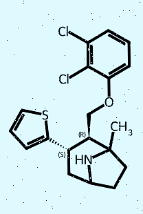 CC12CCC(C[C@H](c3cccs3)[C@H]1COc1cccc(Cl)c1Cl)N2